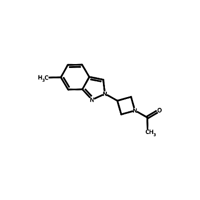 CC(=O)N1CC(n2cc3ccc(C)cc3n2)C1